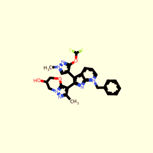 Cc1nn2c(c1-c1nc3n(Cc4ccccc4)cccc-3c1-c1cn(C)nc1OC(F)F)OCC(O)C2